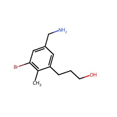 Cc1c(Br)cc(CN)cc1CCCO